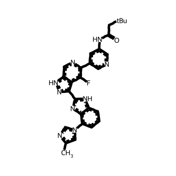 Cc1cn(-c2cccc3[nH]c(-c4n[nH]c5cnc(-c6cncc(NC(=O)CC(C)(C)C)c6)c(F)c45)nc23)cn1